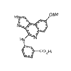 COc1ccc2nc(Nc3cccc(C(=O)O)c3)c3n[nH]cc3c2c1